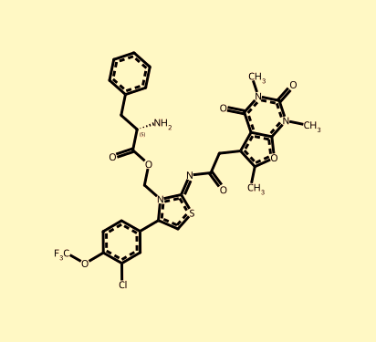 Cc1oc2c(c1CC(=O)N=c1scc(-c3ccc(OC(F)(F)F)c(Cl)c3)n1COC(=O)[C@@H](N)Cc1ccccc1)c(=O)n(C)c(=O)n2C